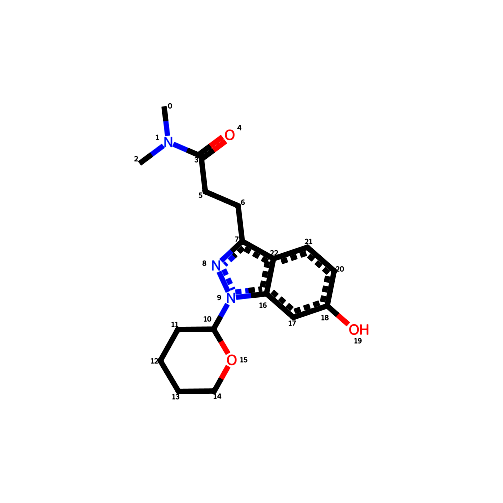 CN(C)C(=O)CCc1nn(C2CCCCO2)c2cc(O)ccc12